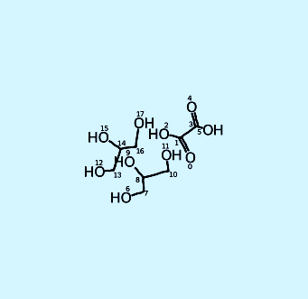 O=C(O)C(=O)O.OCC(O)CO.OCC(O)CO